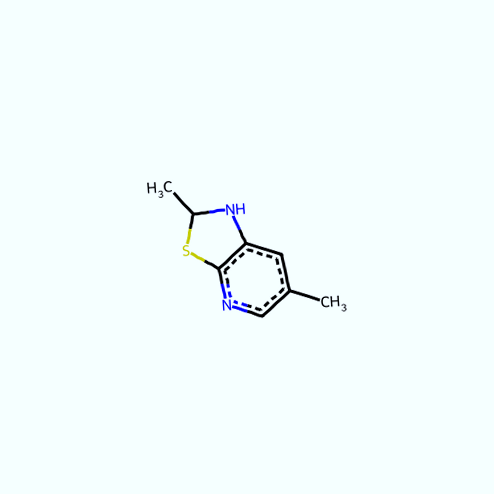 Cc1cnc2c(c1)NC(C)S2